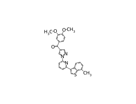 COc1ccc(C(=O)c2cnn(-c3cccc(-c4csc5c(C)cccc45)n3)c2)cc1OC